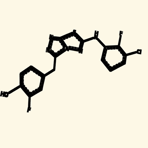 Oc1ccc(Cc2nnc3sc(Nc4cccc(Cl)c4F)nn23)cc1F